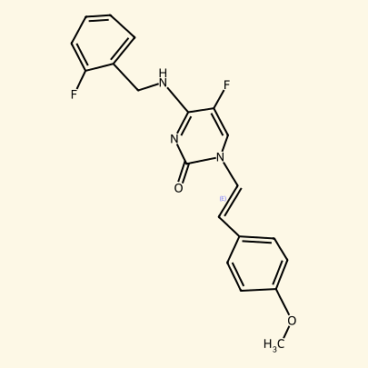 COc1ccc(/C=C/n2cc(F)c(NCc3ccccc3F)nc2=O)cc1